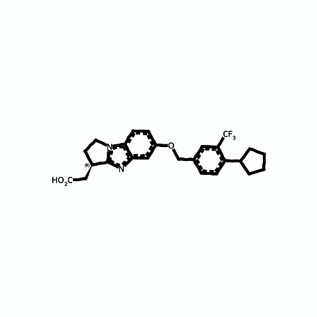 O=C(O)C[C@H]1CCn2c1nc1cc(OCc3ccc(C4CCCC4)c(C(F)(F)F)c3)ccc12